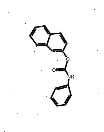 O=C(Nc1ccccc1)Oc1[c]cc2ccccc2c1